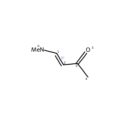 CN/C=C/C(C)=O